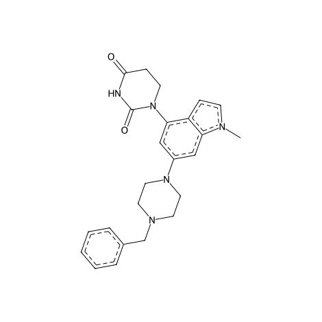 Cn1ccc2c(N3CCC(=O)NC3=O)cc(N3CCN(Cc4ccccc4)CC3)cc21